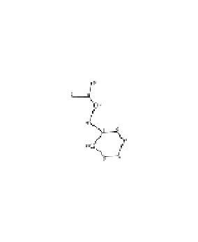 CC(C)OCC1CCCCO1